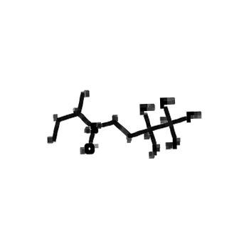 CCC(C)[S+]([O-])CCC(F)(F)C(F)(F)F